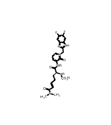 CN(C)C(=O)/C=C/CC[C@H](NC(=O)O)C(=O)Nc1cccn(Cc2nc3cc(F)c(F)cc3[nH]2)c1=O